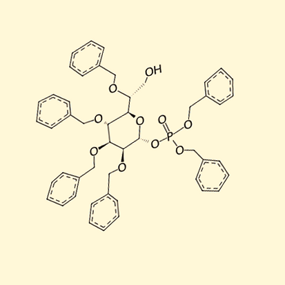 O=P(OCc1ccccc1)(OCc1ccccc1)O[C@H]1O[C@H]([C@@H](CO)OCc2ccccc2)[C@@H](OCc2ccccc2)[C@H](OCc2ccccc2)[C@@H]1OCc1ccccc1